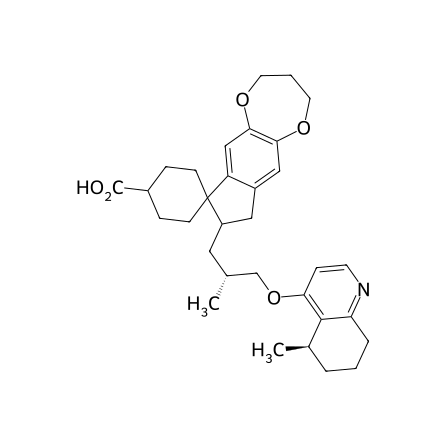 C[C@@H](COc1ccnc2c1[C@H](C)CCC2)CC1Cc2cc3c(cc2C12CCC(C(=O)O)CC2)OCCCO3